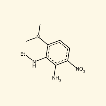 CCNc1c(N(C)C)ccc([N+](=O)[O-])c1N